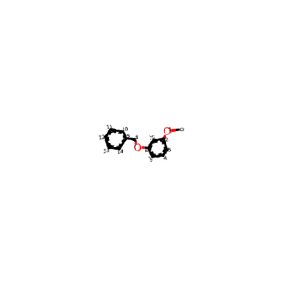 COc1cc[c]c(OCc2ccccc2)c1